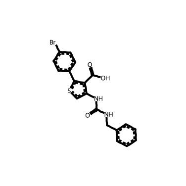 O=C(NCc1ccccc1)Nc1csc(-c2ccc(Br)cc2)c1C(=O)O